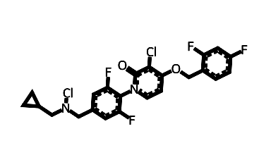 O=c1c(Cl)c(OCc2ccc(F)cc2F)ccn1-c1c(F)cc(CN(Cl)CC2CC2)cc1F